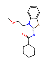 COCCn1c(=NC(=O)C2CCCCC2)sc2ccccc21